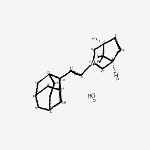 CC1(C)[C@H]2CC[C@]1(C)CN(CCC1C3CC4CC(C3)CC1C4)C2.Cl